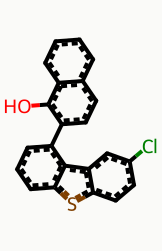 Oc1c(-c2cccc3sc4ccc(Cl)cc4c23)ccc2ccccc12